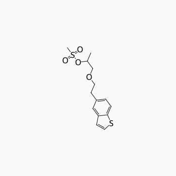 CC(COCCc1ccc2sccc2c1)OS(C)(=O)=O